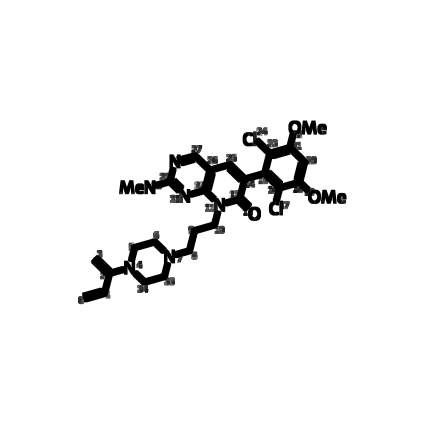 C=CC(=C)N1CCN(CCCn2c(=O)c(-c3c(Cl)c(OC)cc(OC)c3Cl)cc3cnc(NC)nc32)CC1